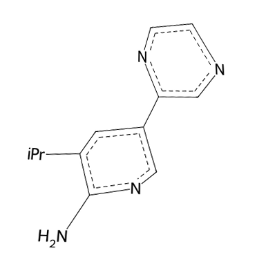 CC(C)c1cc(-c2cnccn2)cnc1N